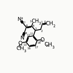 C=CCC(C(C)=C(C#N)C#N)c1cc(OC)ccc1OC